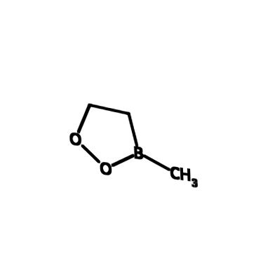 CB1CCOO1